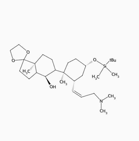 CN(C)C/C=C\[C@H]1C[C@@H](O[Si](C)(C)C(C)(C)C)CC[C@]1(C)C1CC[C@@]2(C)C(CCC23OCCO3)[C@@H]1O